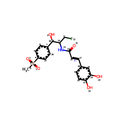 CS(=O)(=O)c1ccc([C@@H](O)C(CF)NC(=O)/C=C/c2ccc(O)c(O)c2)cc1